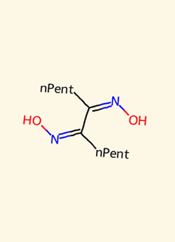 CCCCCC(=N/O)/C(CCCCC)=N\O